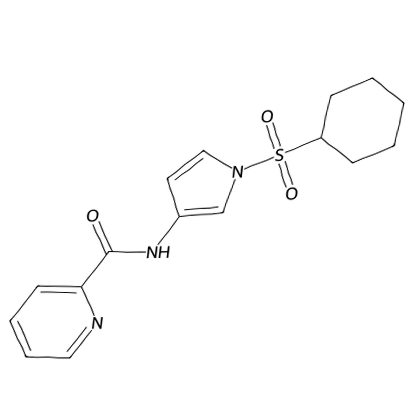 O=C(Nc1ccn(S(=O)(=O)C2CCCCC2)c1)c1ccccn1